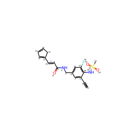 C#Cc1cc(CNC(=O)/C=C/C2=CC=CC2)cc(F)c1NS(C)(=O)=O